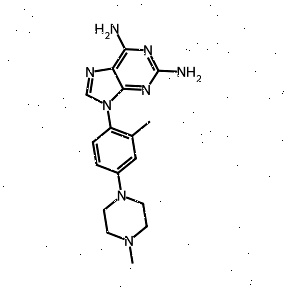 Cc1cc(N2CCN(C)CC2)ccc1-n1cnc2c(N)nc(N)nc21